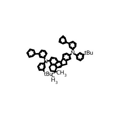 CC(C)(C)c1cccc(N(c2cccc(-c3ccccc3)c2)c2ccc3c(c2)Cc2cc4c5c(c(N(c6cccc(-c7ccccc7)c6)c6cccc(C(C)(C)C)c6)ccc5c2-3)CCC4(C)C)c1